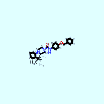 CC(C)(C)c1ccccc1N1CCN(C(=O)Nc2ccc(OCc3ccccc3)cc2)CC1